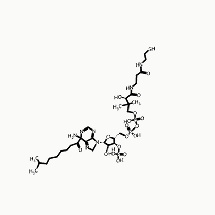 CC(C)CCCCCCC(=O)C1(N)N=CN=C2C1=NCN2[C@@H]1O[C@H](COP(=O)(O)OP(=O)(O)OCC(C)(C)[C@@H](O)C(=O)NCCC(=O)NCCS)[C@@H](OP(=O)(O)O)[C@H]1O